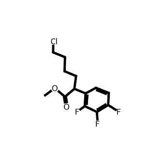 COC(=O)C(CCCCCl)c1ccc(F)c(F)c1F